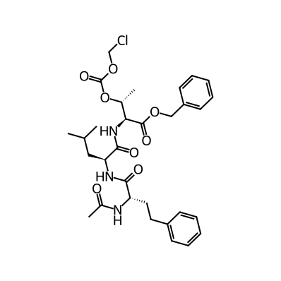 CC(=O)N[C@@H](CCc1ccccc1)C(=O)N[C@@H](CC(C)C)C(=O)N[C@H](C(=O)OCc1ccccc1)[C@@H](C)OC(=O)OCCl